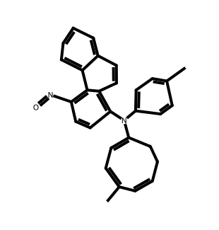 CC1=C/C=C(/N(c2ccc(C)cc2)c2ccc(N=O)c3c2ccc2ccccc23)CC/C=C\1